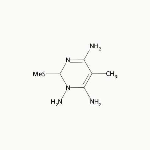 CSC1N=C(N)C(C)=C(N)N1N